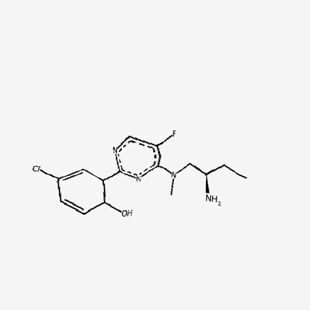 CC[C@@H](N)CN(C)c1nc(C2C=C(Cl)C=CC2O)ncc1F